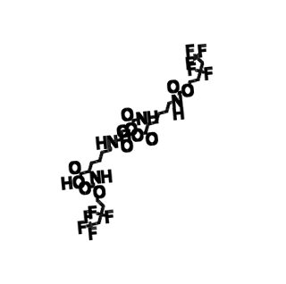 O=C(NCCCCC(NC(=O)OOC(=O)NCCCCC(NC(=O)OCCC(F)(F)CC(F)(F)F)C(=O)O)C(=O)O)OCCC(F)(F)CC(F)(F)F